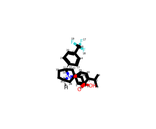 CC(C)c1ccc(N2[C@@H]3CC[C@@]2(c2ccc(C(F)(F)F)cc2)CC(CC(=O)O)C3)cc1